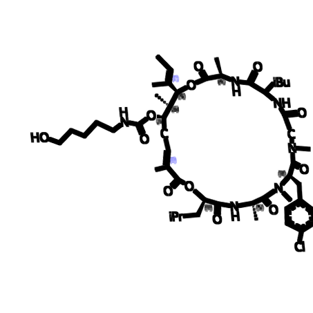 C/C=C(\C)[C@H]1OC(=O)[C@@H](C)NC(=O)C(C(C)CC)NC(=O)CN(C)C(=O)[C@@H](Cc2ccc(Cl)cc2)N(C)C(=O)[C@H](C)NC(=O)[C@@H](CC(C)C)OC(=O)/C(C)=C/C[C@H](OC(=O)NCCCCCO)[C@@H]1C